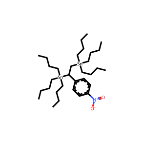 CCC[CH2][Sn]([CH2]CCC)([CH2]CCC)[CH2][CH](c1ccc([N+](=O)[O-])cc1)[Sn]([CH2]CCC)([CH2]CCC)[CH2]CCC